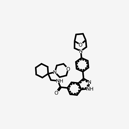 O=C(NCC1(N2CCOCC2)CCCCC1)c1ccc2[nH]nc(-c3ccc(N4CC5CCC(C4)O5)cc3)c2c1